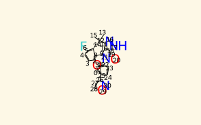 COc1ccc(F)cc1C1c2c(C(C)(C)C)n[nH]c2C(=O)N1c1ccc(-c2ccon2)cc1